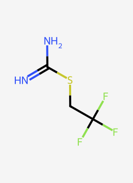 N=C(N)SCC(F)(F)F